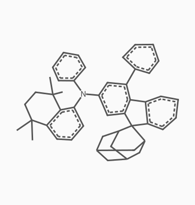 CC1(C)CCC(C)(C)c2c(N(c3ccccc3)c3cc(-c4ccccc4)c4c(c3)C3(c5ccccc5-4)C4CC5CC(C4)CC3C5)cccc21